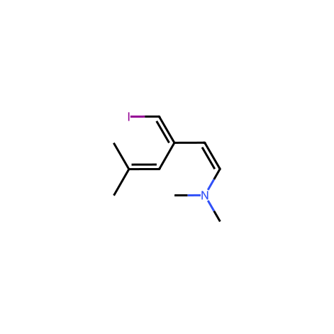 CC(C)=CC(/C=C\N(C)C)=C\I